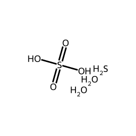 O.O.O=S(=O)(O)O.S